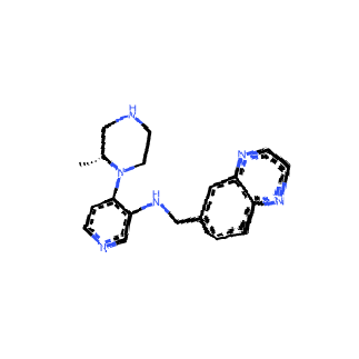 C[C@@H]1CNCCN1c1ccncc1NCc1ccc2nccnc2c1